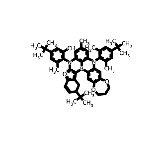 Cc1cc2c3c(c1)N(c1c(C)cc(C(C)(C)C)cc1C)c1oc4c(c1B3c1cc3c(cc1N2c1c(C)cc(C(C)(C)C)cc1C)OCCCO3)CC(C(C)(C)C)C=C4